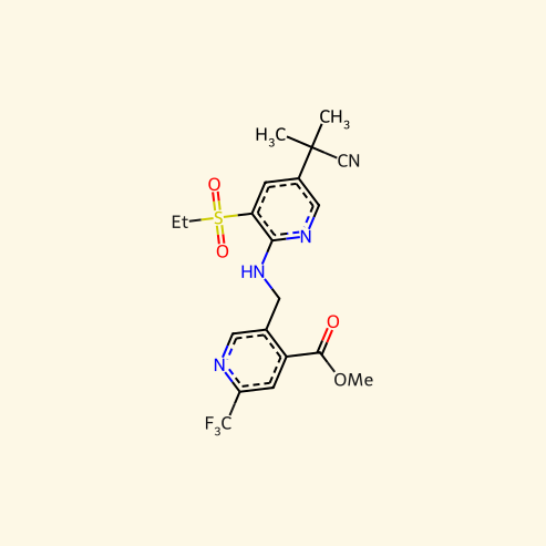 CCS(=O)(=O)c1cc(C(C)(C)C#N)cnc1NCc1cnc(C(F)(F)F)cc1C(=O)OC